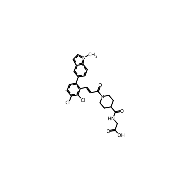 Cn1ccc2cc(-c3c[c]c(Cl)c(Cl)c3/C=C/C(=O)N3CCC(C(=O)NCC(=O)O)CC3)ccc21